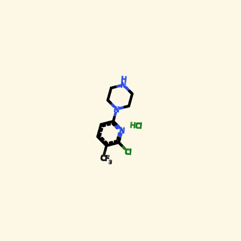 Cl.FC(F)(F)c1ccc(N2CCNCC2)nc1Cl